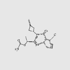 C=C1CC(n2c(C(C)OC(N)=O)nc3cccc(Cl)c3c2=O)C1